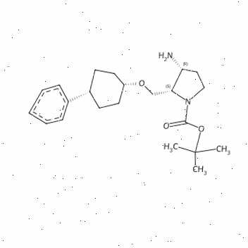 CC(C)(C)OC(=O)N1CC[C@@H](N)[C@H]1CO[C@H]1CC[C@@H](c2ccccc2)CC1